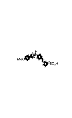 COc1ccc(-c2cnc(Nc3ccc(CCN4CCCC(OC(=O)O)C4)cc3)nc2)cc1